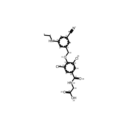 CCNc1cc(C#N)cc(COc2c(Cl)cc(C(=O)NCC(=O)O)cc2Cl)c1